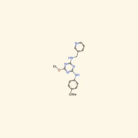 CCOc1nc(NCc2cccnc2)nc(Nc2ccc(OC)cc2)n1